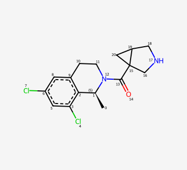 C[C@H]1c2c(Cl)cc(Cl)cc2CCN1C(=O)C12CNCC1C2